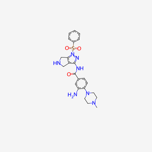 CN1CCN(c2ccc(C(=O)Nc3nn(S(=O)(=O)c4ccccc4)c4c3CNC4)cc2N)CC1